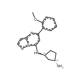 COc1ccccc1-c1cc(N[C@H]2CC[C@H](N)C2)n2nccc2n1